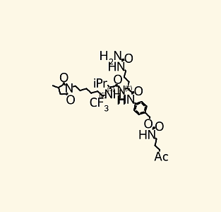 CC(=O)CCCNC(=O)OCc1ccc(NC(=O)[C@H](CCCNC(N)=O)NC(=O)[C@@H](N[C@@H](CCCCCN2C(=O)CC(C)C2=O)C(F)(F)F)C(C)C)cc1